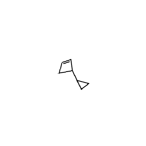 [CH]1C=CC1C1CC1